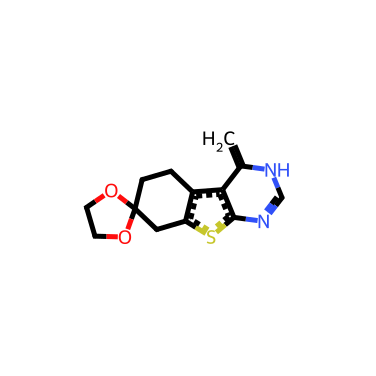 C=C1NC=Nc2sc3c(c21)CCC1(C3)OCCO1